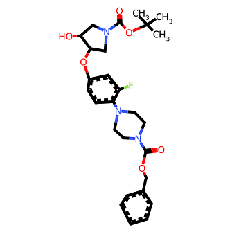 CC(C)(C)OC(=O)N1CC(O)C(Oc2ccc(N3CCN(C(=O)OCc4ccccc4)CC3)c(F)c2)C1